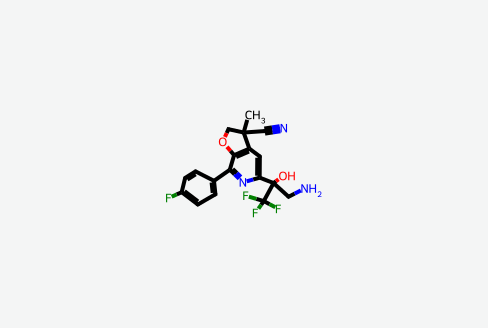 CC1(C#N)COc2c1cc(C(O)(CN)C(F)(F)F)nc2-c1ccc(F)cc1